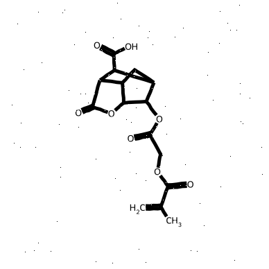 C=C(C)C(=O)OCC(=O)OC1C2CC3C1OC(=O)C3C2C(=O)O